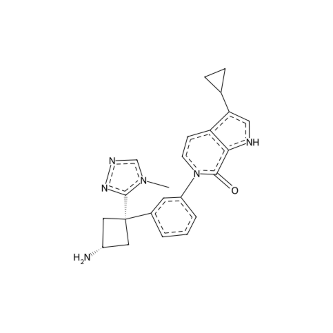 Cn1cnnc1[C@]1(c2cccc(-n3ccc4c(C5CC5)c[nH]c4c3=O)c2)C[C@H](N)C1